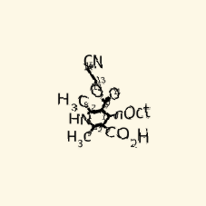 CCCCCCCCC1C(C(=O)O)=C(C)NC(C)=C1C(=O)OCCC#N